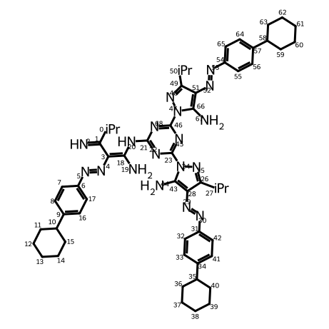 CC(C)C(=N)C(/N=N/c1ccc(C2CCCCC2)cc1)=C(/N)Nc1nc(-n2nc(C(C)C)c(/N=N/c3ccc(C4CCCCC4)cc3)c2N)nc(-n2nc(C(C)C)c(/N=N/c3ccc(C4CCCCC4)cc3)c2N)n1